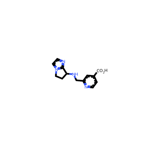 O=C(O)c1ccnc(CNC2CCn3ccnc32)c1